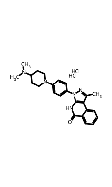 Cc1nn(-c2ccc(N3CCC(N(C)C)CC3)cc2)c2[nH]c(=O)c3ccccc3c12.Cl.Cl